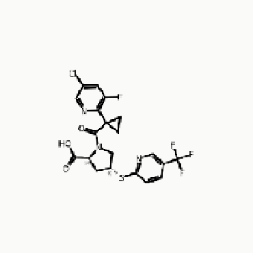 O=C(O)[C@@H]1C[C@@H](Sc2ccc(C(F)(F)F)cn2)CN1C(=O)C1(c2ncc(Cl)cc2F)CC1